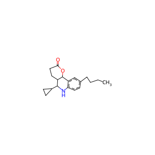 CCCCc1ccc2c(c1)C1OC(=O)CCC1C(C1CC1)N2